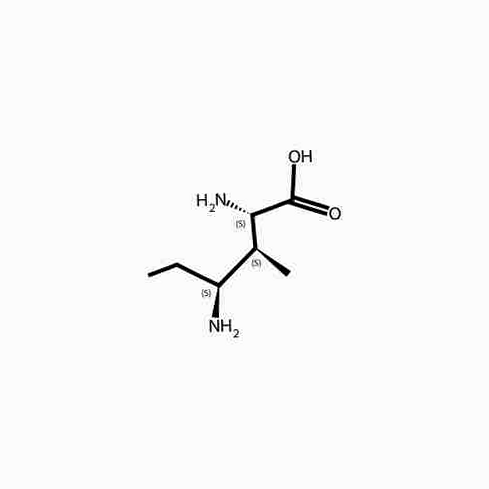 CC[C@H](N)[C@H](C)[C@H](N)C(=O)O